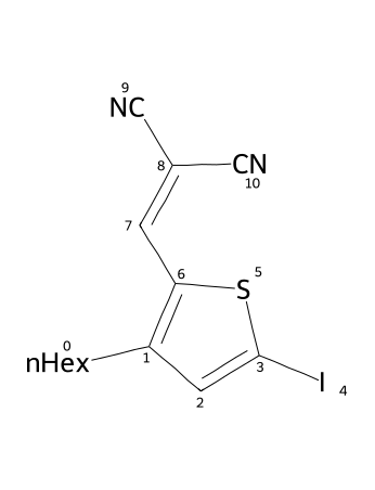 CCCCCCc1cc(I)sc1C=C(C#N)C#N